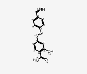 N=Cc1ccc(SSc2ccc(C(=O)O)c(O)c2)cc1